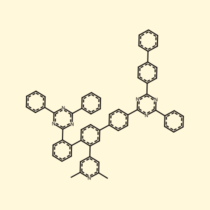 Cc1cc(-c2cc(-c3ccc(-c4nc(-c5ccccc5)nc(-c5ccc(-c6ccccc6)cc5)n4)cc3)ccc2-c2ccccc2-c2nc(-c3ccccc3)nc(-c3ccccc3)n2)cc(C)n1